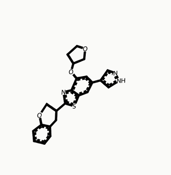 c1ccc2c(c1)CC(c1nc3c(OC4CCOC4)cc(-c4cn[nH]c4)cc3s1)CO2